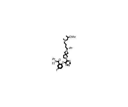 CCN(C(=O)c1cc(F)ccc1Oc1nncnc1N1CCC2(C1)CN([C@H](CCCN(C)CC(C)OC)C(C)C)C2)C(C)C